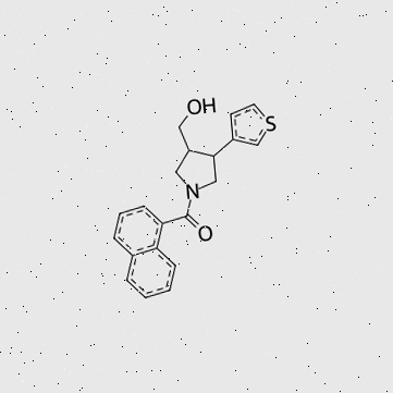 O=C(c1cccc2ccccc12)N1CC(CO)C(c2ccsc2)C1